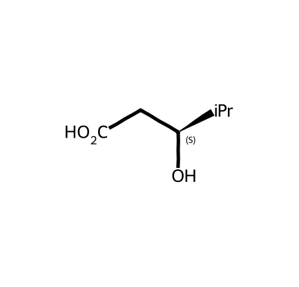 CC(C)[C@@H](O)CC(=O)O